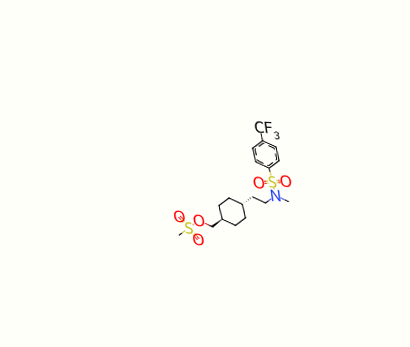 CN(CC[C@H]1CC[C@H](COS(C)(=O)=O)CC1)S(=O)(=O)c1ccc(C(F)(F)F)cc1